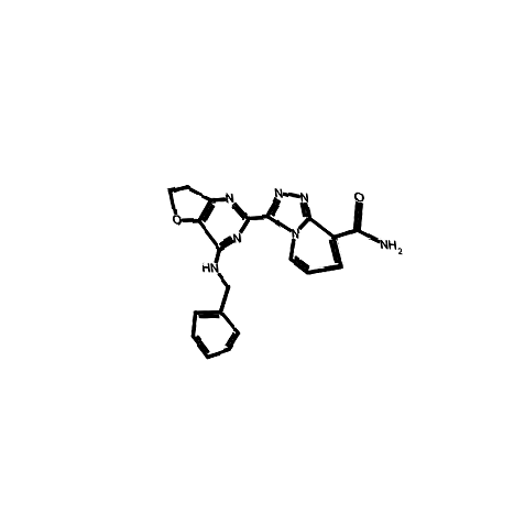 NC(=O)c1cccn2c(-c3nc4c(c(NCc5ccccc5)n3)OCC4)nnc12